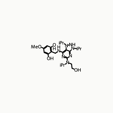 COc1cc(O)c(CNc2nc(N(CCO)C(C)C)nc3c2N(C(C)C)NN3C(C)C)c(O)c1